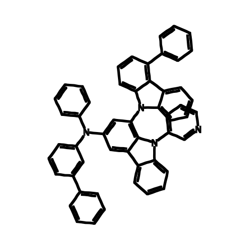 c1ccc(-c2cccc(N(c3ccccc3)c3cc(-n4c5ccccc5c5c(-c6ccccc6)cccc54)c4c(c3)c3ccccc3n4-c3cccnc3)c2)cc1